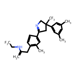 C=C(Cc1ccc(C2=NCC(c3cc(C)cc(C)c3)(C(F)(F)F)C2)cc1C)NCC(F)(F)F